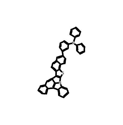 c1ccc(N(c2ccccc2)c2cccc(-c3ccc4c(ccc5c4sc4c5c5cc6ccccc6c6c7ccccc7n4c56)c3)c2)cc1